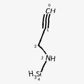 C#CCN[SiH3]